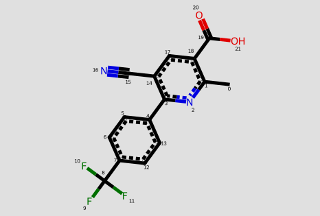 Cc1nc(-c2ccc(C(F)(F)F)cc2)c(C#N)cc1C(=O)O